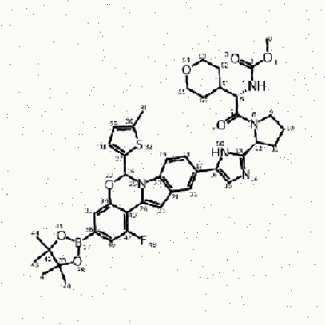 COC(=O)N[C@H](C(=O)N1CCC[C@H]1c1ncc(-c2ccc3c(c2)cc2n3C(c3ccc(C)s3)Oc3cc(B4OC(C)(C)C(C)(C)O4)cc(F)c3-2)[nH]1)C1CCOCC1